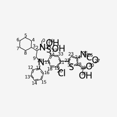 CN1C(C2CCCCC2)CN(c2ccccc2)c2cc(Cl)c(-c3cc(N=C=O)c(C(=O)O)s3)cc2S1(O)O